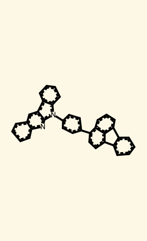 c1ccc2c(c1)-c1cccc3c(-c4ccc(-n5c6ccccc6c6cc7ccccc7nc65)cc4)ccc-2c13